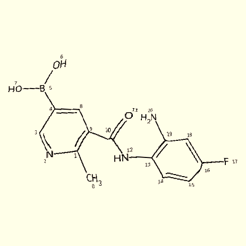 Cc1ncc(B(O)O)cc1C(=O)Nc1ccc(F)cc1N